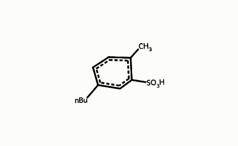 CCCCc1ccc(C)c(S(=O)(=O)O)c1